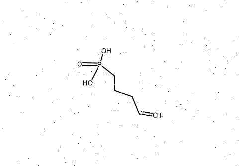 [CH]=CCCCP(=O)(O)O